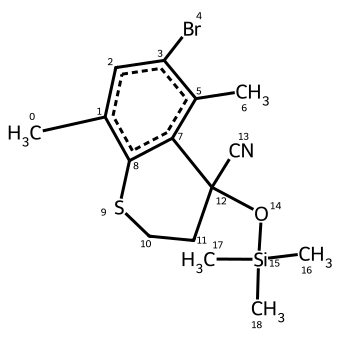 Cc1cc(Br)c(C)c2c1SCCC2(C#N)O[Si](C)(C)C